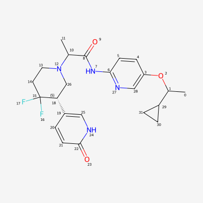 CC(Oc1ccc(NC(=O)C(C)N2CCC(F)(F)[C@@H](c3ccc(=O)[nH]c3)C2)nc1)C1CC1